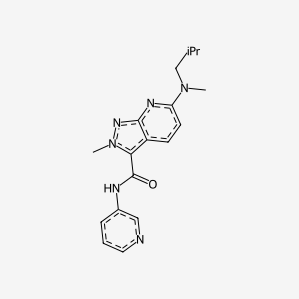 CC(C)CN(C)c1ccc2c(C(=O)Nc3cccnc3)n(C)nc2n1